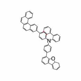 C1=CCC2Oc3c(cccc3-c3ccc(N(c4ccc(-c5ccc6c(ccc7ccc8ccccc8c76)c5)cc4)c4ccccc4-c4ccccc4)cc3)C2=C1